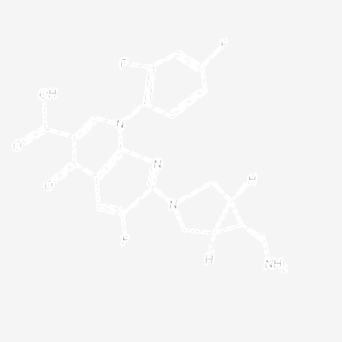 NC[C@@H]1[C@H]2CN(c3nc4c(cc3F)c(=O)c(C(=O)O)cn4-c3ccc(F)cc3F)C[C@@H]12